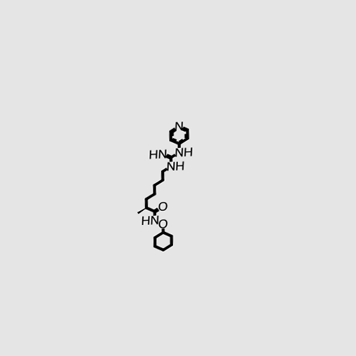 C[C@@H](CCCCCNC(=N)Nc1ccncc1)C(=O)NOC1CCCCC1